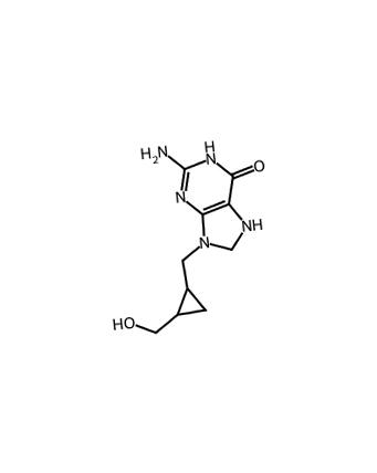 Nc1nc2c(c(=O)[nH]1)NCN2CC1CC1CO